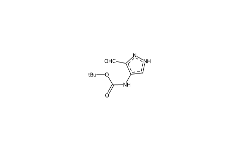 CC(C)(C)OC(=O)Nc1c[nH]nc1C=O